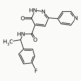 CC(NC(=O)c1cc(-c2ccncc2)n[nH]c1=O)c1ccc(F)cc1